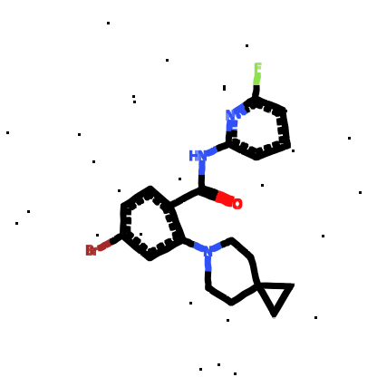 O=C(Nc1cccc(F)n1)c1ccc(Br)cc1N1CCC2(CC1)CC2